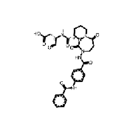 O=C[C@H](CC(=O)O)NC(=O)[C@@H]1CCCN2C(=O)CCN(NC(=O)c3ccc(NC(=O)c4ccccc4)cc3)C(=O)N12